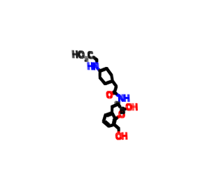 O=C(O)CNC1CCC(CC(=O)N[C@H]2Cc3cccc(CO)c3OB2O)CC1